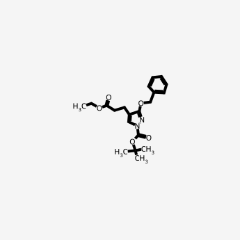 CCOC(=O)CCc1cn(C(=O)OC(C)(C)C)nc1OCc1ccccc1